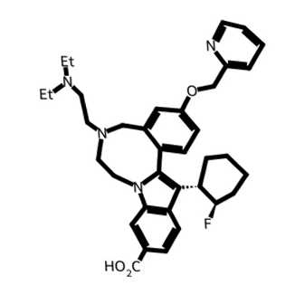 CCN(CC)CCN1CCn2c(c([C@@H]3CCCC[C@H]3F)c3ccc(C(=O)O)cc32)-c2ccc(OCc3ccccn3)cc2C1